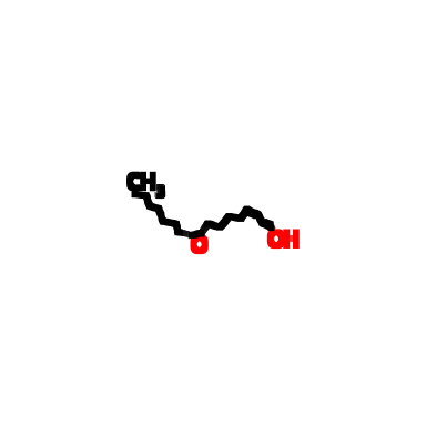 CCCCCCCC[C@@H]1O[C@@H]1CCCC/C=C\C=C\O